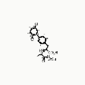 CC(NC(Cc1ccc(-c2cc(Cl)ccc2Cl)cc1)C(=O)O)C(=O)OC(C)(C)C